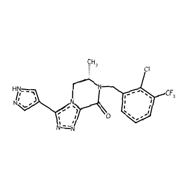 C[C@H]1Cn2c(nnc2-c2cn[nH]c2)C(=O)N1Cc1cccc(C(F)(F)F)c1Cl